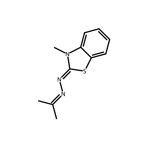 CC(C)=N/N=c1\sc2ccccc2n1C